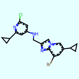 Clc1cc(NCc2cn3cc(C4CC4)cc(Br)c3n2)cc(C2CC2)n1